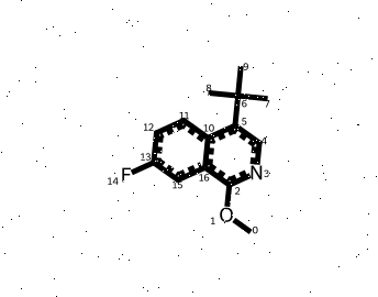 COc1ncc(C(C)(C)C)c2ccc(F)cc12